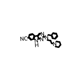 N#Cc1ccc2c(c1)[nH]c1nc(N(CCCN3CCCCC3)Cc3ccccc3)ncc12